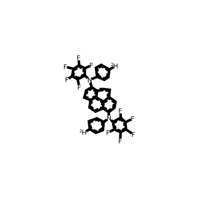 [2H]c1ccc(N(c2c(F)c(F)c(F)c(F)c2F)c2ccc3ccc4c(N(c5ccc([2H])cc5)c5c(F)c(F)c(F)c(F)c5F)ccc5ccc2c3c54)cc1